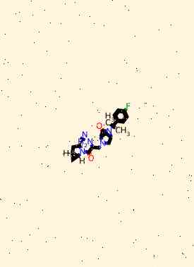 CC(C)(c1ccc(F)cc1)N1C(=O)C2CC1CN2CC(N)C(=O)N1[C@H](C#N)C[C@@H]2C[C@@H]21